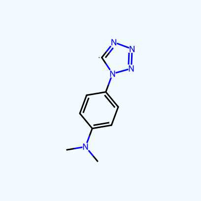 CN(C)c1ccc(-n2[c]nnn2)cc1